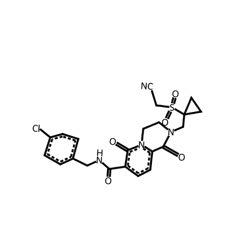 N#CCS(=O)(=O)C1(CN2CCn3c(ccc(C(=O)NCc4ccc(Cl)cc4)c3=O)C2=O)CC1